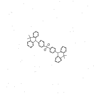 CC1(C)c2ccccc2C(c2ccc(S(=O)(=O)c3ccc(C4c5ccccc5C(C)(C)c5ccccc54)cc3)cc2)c2ccccc21